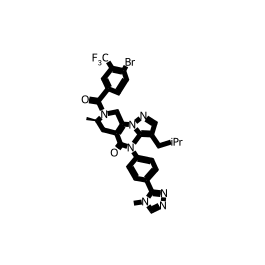 CC(C)Cc1cnn2c3c(c(=O)n(-c4ccc(-c5nncn5C)cc4)c12)C[C@@H](C)N(C(=O)c1ccc(Br)c(C(F)(F)F)c1)C3